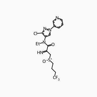 CCN(C(=O)C(=N)C[S+]([O-])CCCC(F)(F)F)c1cn(-c2cccnc2)nc1Cl